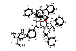 CC(C)([CH2][Sn]([CH2]C(C)(C)c1ccccc1)([CH2]C(C)(C)c1ccccc1)[O][Sn]([CH2]C(C)(C)c1ccccc1)([CH2]C(C)(C)c1ccccc1)[CH2]C(C)(C)c1ccccc1)c1ccccc1.OCC(CO)(CO)CO